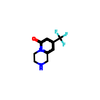 O=c1cc(C(F)(F)F)cc2n1CCNC2